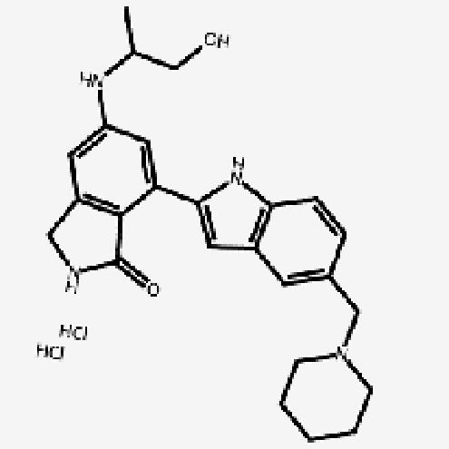 CC(CO)Nc1cc2c(c(-c3cc4cc(CN5CCCCC5)ccc4[nH]3)c1)C(=O)NC2.Cl.Cl